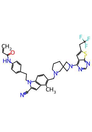 C=CC(=O)Nc1ccc(CCn2c(C#N)cc3c(C)c(CN4CCCC5(C4)CN(c4ncnc6sc(CC(F)(F)F)cc46)C5)ccc32)cc1